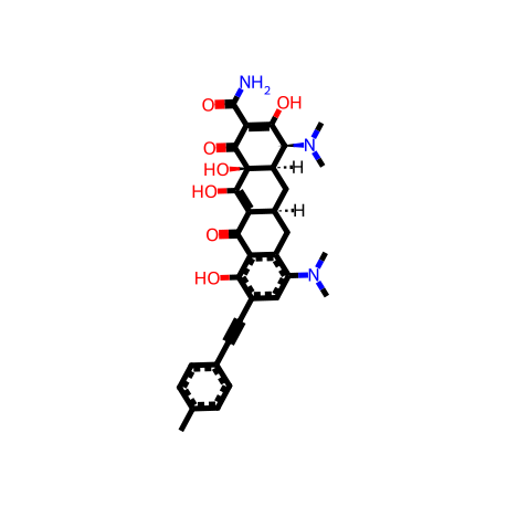 Cc1ccc(C#Cc2cc(N(C)C)c3c(c2O)C(=O)C2=C(O)[C@]4(O)C(=O)C(C(N)=O)=C(O)[C@@H](N(C)C)[C@H]4C[C@H]2C3)cc1